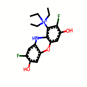 CC[N+](CC)(CC)c1c(F)c(O)cc2c1Nc1cc(F)c(O)cc1O2